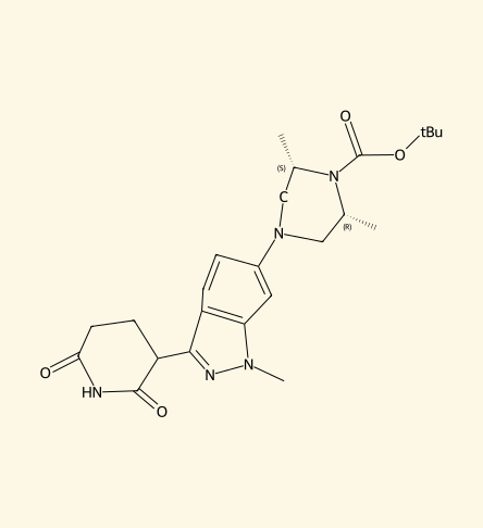 C[C@@H]1CN(c2ccc3c(C4CCC(=O)NC4=O)nn(C)c3c2)C[C@H](C)N1C(=O)OC(C)(C)C